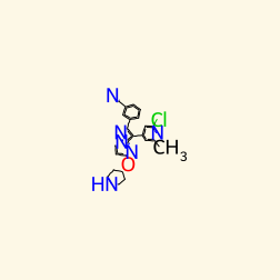 Cc1cc(-c2c(-c3cccc(C#N)c3)nn3ccc(OC4CCNCC4)nc23)cc(Cl)n1